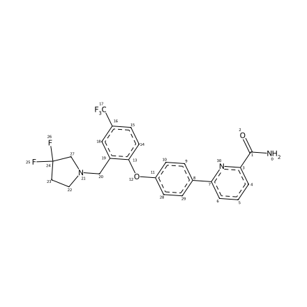 NC(=O)c1cccc(-c2ccc(Oc3ccc(C(F)(F)F)cc3CN3CCC(F)(F)C3)cc2)n1